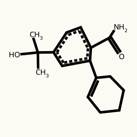 CC(C)(O)c1ccc(C(N)=O)c(C2=CCCCC2)c1